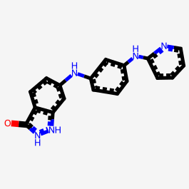 O=c1[nH][nH]c2cc(Nc3cccc(Nc4ccccn4)c3)ccc12